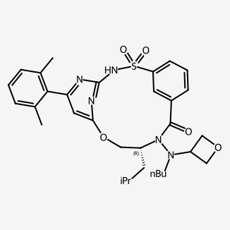 CCCCN(C1COC1)N1C(=O)c2cccc(c2)S(=O)(=O)Nc2nc(cc(-c3c(C)cccc3C)n2)OC[C@H]1CC(C)C